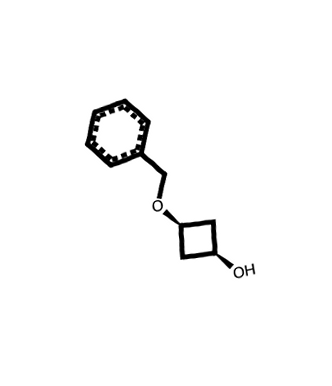 O[C@H]1C[C@@H](OCc2ccccc2)C1